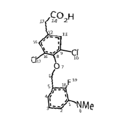 CNc1cccc(COc2c(Cl)cc(CC(=O)O)cc2Cl)c1F